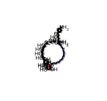 C[C@H]1/C=C/C=C/C=C\C=C/C=C/C=C/C=C/[C@H](O[C@@H]2O[C@H](C)[C@@H](O)C[C@@H]2O)C[C@@H]2O[C@](O)(C[C@@H](O)C[C@@H](O)C[C@@H](O)C[C@@H](O)CC(=O)C[C@@H](O)CC(=O)O[C@@H]1[C@@H](N)CCC(O)CC(=O)c1ccc(N)cc1)C[C@H](O)[C@H]2C(=O)O